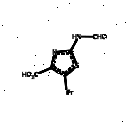 CC(C)c1sc(NC=O)nc1C(=O)O